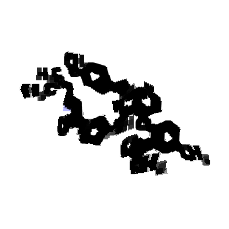 COc1ccc(Cn2nc(N[C@@H]3CCN(C(=O)/C=C/CN(C)C)C3)c3c(Oc4ccc(C)cc4C(N)=O)ccnc32)cc1